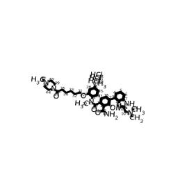 COc1c(-c2cccc3[nH]c(CN(C)C)nc23)ccc(C(=O)N(C)c2ccc(C)cc2OCCCCCC(=O)N2CCN(C)CC2)c1C(N)=O.Cl.Cl.Cl